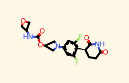 O=C1CC[C@@H](c2c(F)cc(N3CC(OC(=O)NC4COC4)C3)cc2F)C(=O)N1